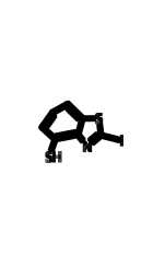 Sc1cccc2sc(I)nc12